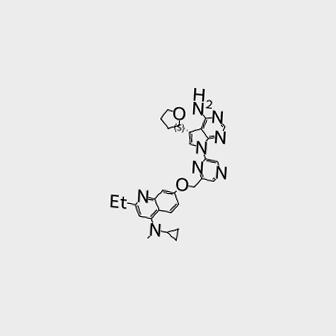 CCc1cc(N(C)C2CC2)c2ccc(OCc3cncc(-n4cc([C@@H]5CCCO5)c5c(N)ncnc54)n3)cc2n1